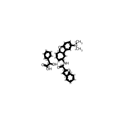 CN(C)c1ccc2c(c1)C1=CC(NC(=O)c3cc4ccccc4o3)=CC=CC1O2.O=C(O)C(O)c1ccccc1